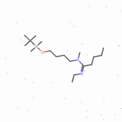 CCCC/C(=N/CC)N(C)CCCCO[Si](C)(C)C(C)(C)C